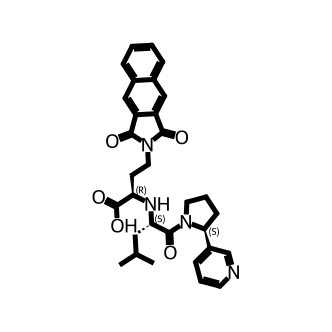 CC(C)C[C@H](N[C@H](CCN1C(=O)c2cc3ccccc3cc2C1=O)C(=O)O)C(=O)N1CCC[C@H]1c1cccnc1